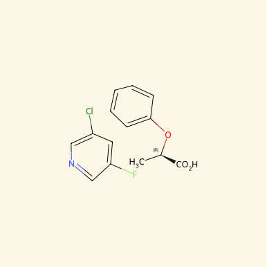 C[C@@H](Oc1ccccc1)C(=O)O.Fc1cncc(Cl)c1